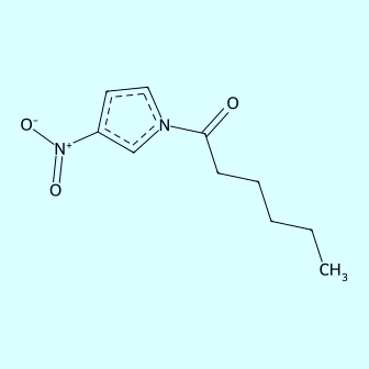 CCCCCC(=O)n1ccc([N+](=O)[O-])c1